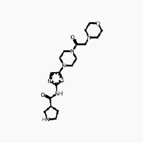 O=C(Nc1ncc(N2CCN(C(=O)CN3CCOCC3)CC2)s1)[C@H]1CCNC1